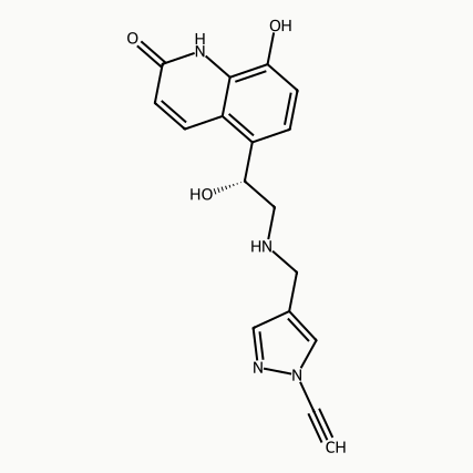 C#Cn1cc(CNC[C@H](O)c2ccc(O)c3[nH]c(=O)ccc23)cn1